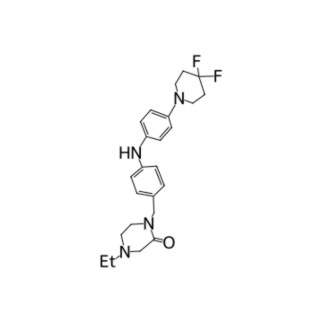 CCN1CCN(Cc2ccc(Nc3ccc(N4CCC(F)(F)CC4)cc3)cc2)C(=O)C1